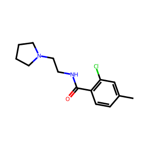 Cc1ccc(C(=O)NCCN2CCCC2)c(Cl)c1